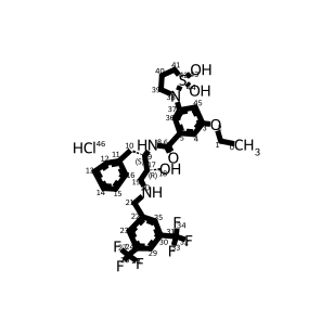 CCOc1cc(C(=O)N[C@@H](Cc2ccccc2)[C@H](O)CNCc2cc(C(F)(F)F)cc(C(F)(F)F)c2)cc(N2CCCS2(O)O)c1.Cl